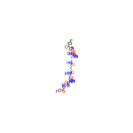 CN[C@@H](C)C(=O)N[C@@H](CCCCNC(=O)CCCCCC(=O)NCCCC[C@H](NC(=O)[C@H](C)NC)C(=O)N1CCC[C@H]1c1cncc(C(=O)c2ccc(I)cc2)c1)C(=O)N1CCC[C@H]1c1cncc(C(=O)c2ccc(F)cc2)c1